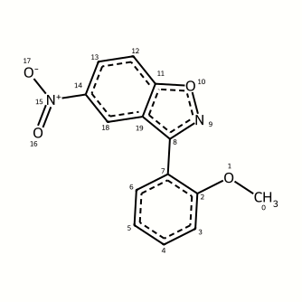 COc1ccccc1-c1noc2ccc([N+](=O)[O-])cc12